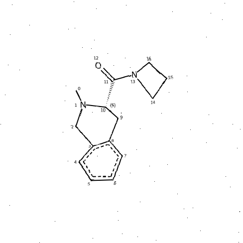 CN1Cc2ccccc2C[C@H]1C(=O)N1CCC1